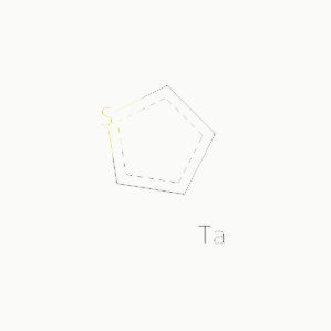 [Ta].c1ccsc1